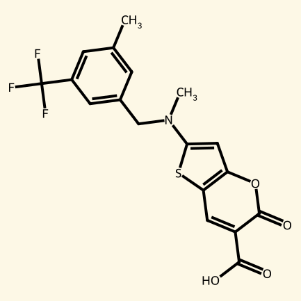 Cc1cc(CN(C)c2cc3oc(=O)c(C(=O)O)cc3s2)cc(C(F)(F)F)c1